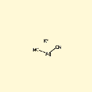 N#[C][Ag-][C]#N.[K+]